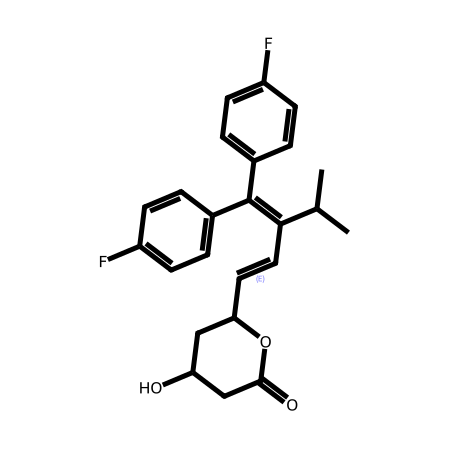 CC(C)C(/C=C/C1CC(O)CC(=O)O1)=C(c1ccc(F)cc1)c1ccc(F)cc1